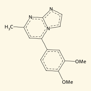 COc1ccc(-c2cc(C)nc3nccn23)cc1OC